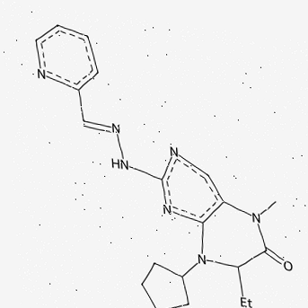 CCC1C(=O)N(C)c2cnc(NN=Cc3ccccn3)nc2N1C1CCCC1